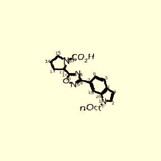 CCCCCCCCn1ccc2ccc(-c3noc(C4CCCN4C(=O)O)n3)cc21